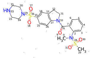 CN(c1ccccc1C(=O)N1CCc2cc(S(=O)(=O)N3CCNCC3)ccc21)S(C)(=O)=O